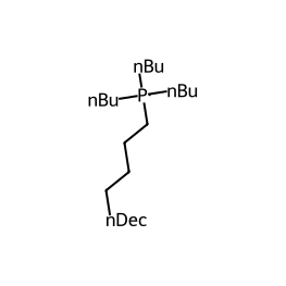 CCCCCCCCCCCCCC[P](CCCC)(CCCC)CCCC